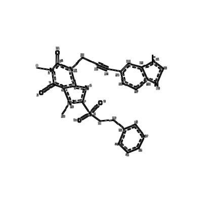 Cn1c(=O)c2c(nc(S(=O)(=O)CCc3ccccc3)n2C)n(CC#Cc2ccc3nc[nH]c3c2)c1=O